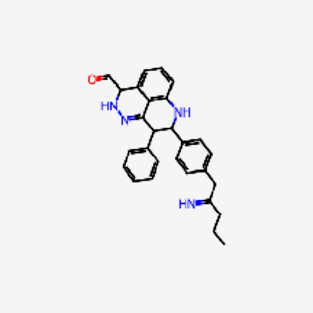 CCCC(=N)Cc1ccc(C2Nc3cccc4c3C(=NNC4C=O)C2c2ccccc2)cc1